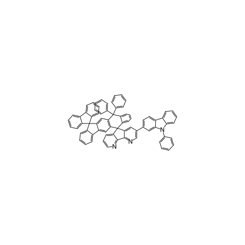 c1ccc(-n2c3ccccc3c3ccc(-c4cnc5c(c4)C4(c6ccccc6C(c6ccccc6)(c6ccccc6)c6cc7c(cc64)-c4ccccc4C74c6ccccc6-c6ccccc64)c4cccnc4-5)cc32)cc1